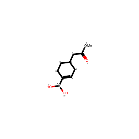 COC(=O)CC1CC=C(B(O)O)CC1